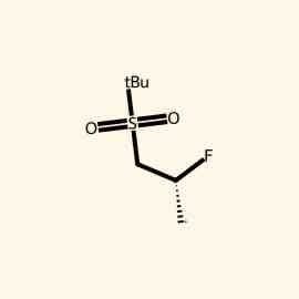 [CH2][C@@H](F)CS(=O)(=O)C(C)(C)C